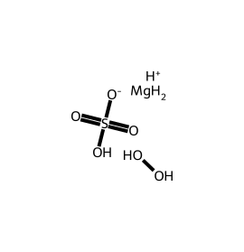 O=S(=O)([O-])O.OO.[H+].[MgH2]